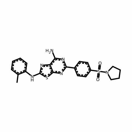 Cc1ccccc1Nc1nc2c(N)nc(-c3ccc(S(=O)(=O)N4CCCC4)cc3)nc2s1